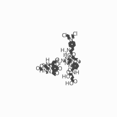 CC(=O)O.CN(Cc1cnc2nc(N)nc(N)c2n1)c1ccc(C(=O)N[C@@H](CCC(=O)O)C(=O)O)cc1.COc1c2occc2cc2ccc(=O)oc12.N[C@@H](Cc1ccc(N(CCCl)CCCl)cc1)C(=O)O.S=c1[nH]cnc2nc[nH]c12